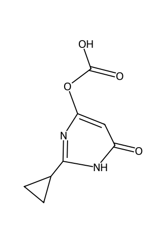 O=C(O)Oc1cc(=O)[nH]c(C2CC2)n1